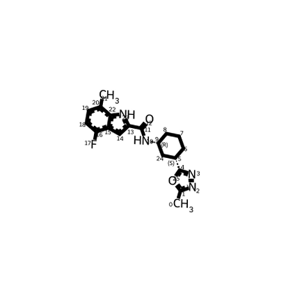 Cc1nnc([C@H]2CCC[C@@H](NC(=O)c3cc4c(F)ccc(C)c4[nH]3)C2)o1